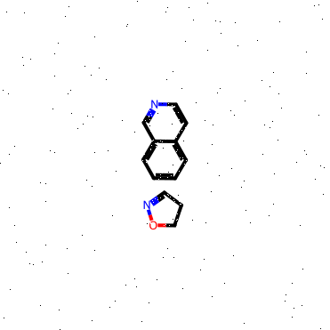 C1=NOCC1.c1ccc2cnccc2c1